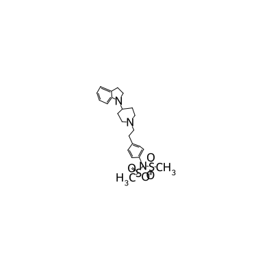 CS(=O)(=O)N(c1ccc(CCN2CCC(N3CCc4ccccc43)CC2)cc1)S(C)(=O)=O